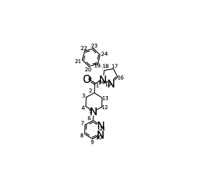 O=C(C1CCN(c2cccnn2)CC1)N1N=CC[C@H]1c1ccccc1